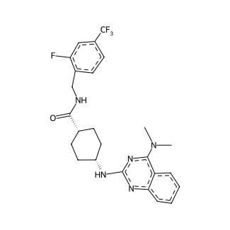 CN(C)c1nc(N[C@H]2CC[C@@H](C(=O)NCc3ccc(C(F)(F)F)cc3F)CC2)nc2ccccc12